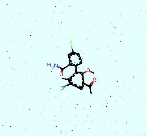 COc1c(C(C)=O)cc(Cl)c(C)c1-c1ccc(F)cc1C(N)=O